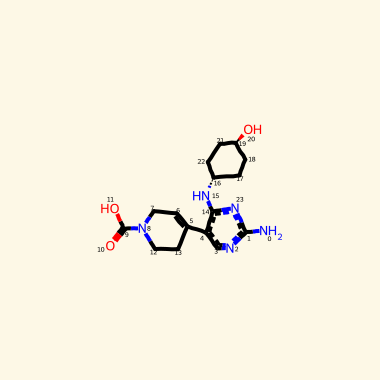 Nc1ncc(C2=CCN(C(=O)O)CC2)c(N[C@H]2CC[C@H](O)CC2)n1